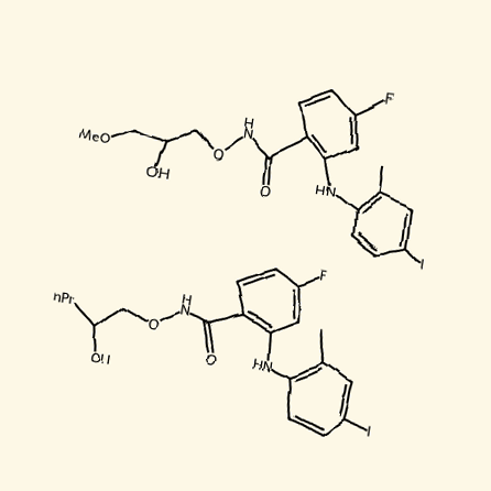 CCCC(O)CONC(=O)c1ccc(F)cc1Nc1ccc(I)cc1C.COCC(O)CONC(=O)c1ccc(F)cc1Nc1ccc(I)cc1C